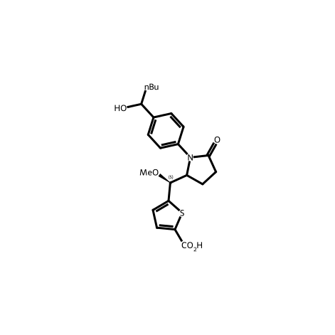 CCCCC(O)c1ccc(N2C(=O)CCC2[C@H](OC)c2ccc(C(=O)O)s2)cc1